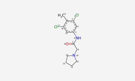 Cc1c(Cl)cc(NC(=O)CN2CCCC2)cc1Cl